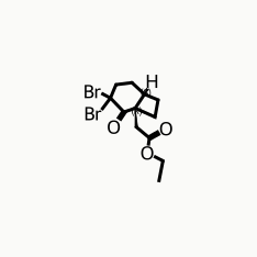 CCOC(=O)C[C@]12CC[C@H]1CCC(Br)(Br)C2=O